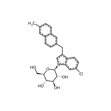 Cc1ccc2cc(Cc3cn([C@@H]4O[C@H](CO)[C@@H](O)[C@H](O)[C@H]4O)c4cc(Cl)ccc34)ccc2c1